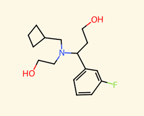 OCCC(c1cccc(F)c1)N(CCO)CC1CCC1